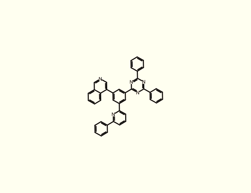 c1ccc(-c2cccc(-c3cc(-c4nc(-c5ccccc5)nc(-c5ccccc5)n4)cc(-c4cncc5ccccc45)c3)n2)cc1